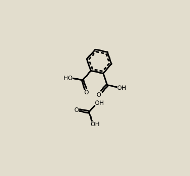 O=C(O)O.O=C(O)c1ccccc1C(=O)O